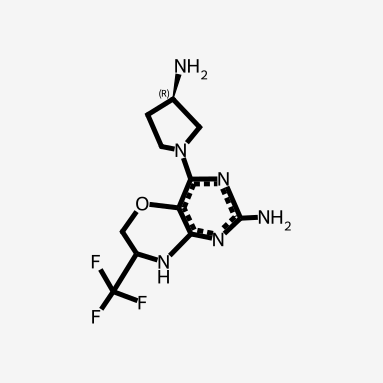 Nc1nc2c(c(N3CC[C@@H](N)C3)n1)OCC(C(F)(F)F)N2